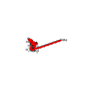 CCC(=O)OC1(C(=O)COCNC(=O)CNC(=O)[C@H](C)NC(=O)[C@H](C)NC(=O)[C@H](CCCCNC(=O)CCOCCOCCOCCOCCOCCOCCOCCOCCOCCOCCOCCOC)NC(=O)CCN2C(=O)C(Sc3ccccc3)=C(Sc3ccccc3)C2=O)[C@@H](C)C[C@H]2[C@@H]3CCC4=CC(=O)C=C[C@]4(C)C3(Cl)[C@@H](O)C[C@@]21C